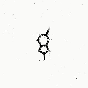 Cc1nc2nc(=O)[nH]cc2[nH]1